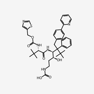 CC(C)(C)[C@H](NC(=O)OCc1cncs1)C(=O)N[C@H]([C@@H](O)CCNC(=O)O)C(Cc1ccc(-c2ccccn2)cc1)(c1ccccc1)C(C)(C)C